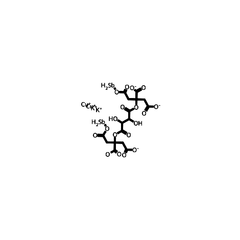 O=C([O-])CC(CC(=O)[O][SbH2])(OC(=O)C(O)C(O)C(=O)OC(CC(=O)[O-])(CC(=O)[O][SbH2])C(=O)[O-])C(=O)[O-].[Cu+].[Cu+].[K+].[K+]